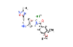 Cc1noc(C2CNCC3(CCN(C(=O)c4ccc(OC(C)C)c(C)c4)CO3)C2)n1.Cl